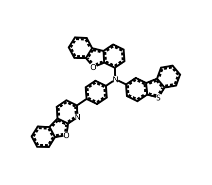 c1ccc2c(c1)oc1nc(-c3ccc(N(c4ccc5sc6ccccc6c5c4)c4cccc5c4oc4ccccc45)cc3)ccc12